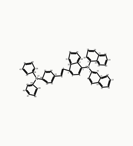 C(=C\c1ccc(N(c2ccc3ccccc3c2)c2cccc3ccccc23)c2ccccc12)/c1ccc(N(c2ccccc2)c2ccccc2)cc1